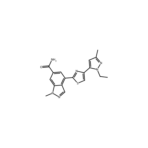 CCn1nc(C)cc1-c1csc(-c2cc(C(N)=O)cc3c2cnn3C)n1